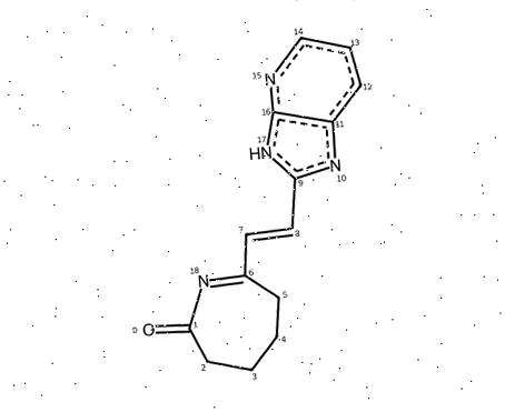 O=C1CCCCC(C=Cc2nc3cccnc3[nH]2)=N1